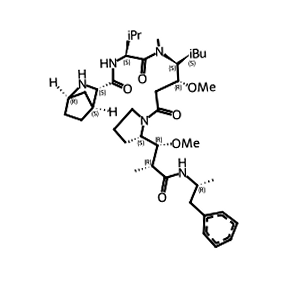 CC[C@H](C)[C@@H]([C@@H](CC(=O)N1CCC[C@H]1[C@H](OC)[C@@H](C)C(=O)N[C@H](C)Cc1ccccc1)OC)N(C)C(=O)[C@@H](NC(=O)[C@H]1N[C@@H]2CC[C@H]1C2)C(C)C